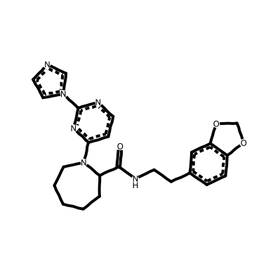 O=C(NCCc1ccc2c(c1)OCO2)C1CCCCCN1c1ccnc(-n2ccnc2)n1